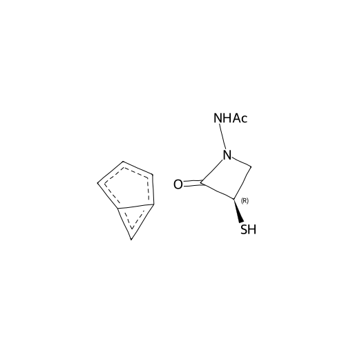 CC(=O)NN1C[C@@H](S)C1=O.c1cc2cc-2c1